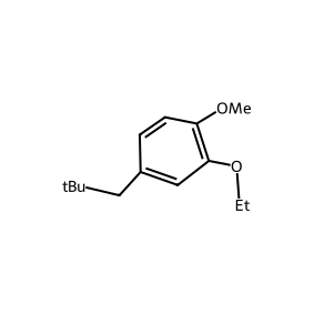 CCOc1cc(CC(C)(C)C)ccc1OC